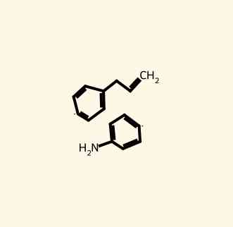 C=CCc1cc[c]cc1.Nc1cc[c]cc1